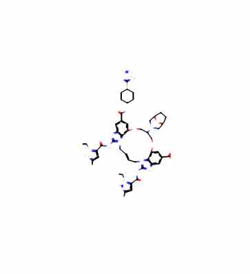 CCn1nc(C)cc1C(=O)Nc1nc2cc(C(=O)O)cc3c2n1C/C=C/Cn1c(NC(=O)c2cc(C)nn2CC)nc2cc(C(=O)N[C@H]4CC[C@H](c5nnn[nH]5)CC4)cc(c21)OCC(N1CC2CCC(C1)O2)CO3